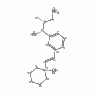 C[C@H](CN)[C@@H](O)c1cccc(/C=C/C2(O)CCCCC2)c1